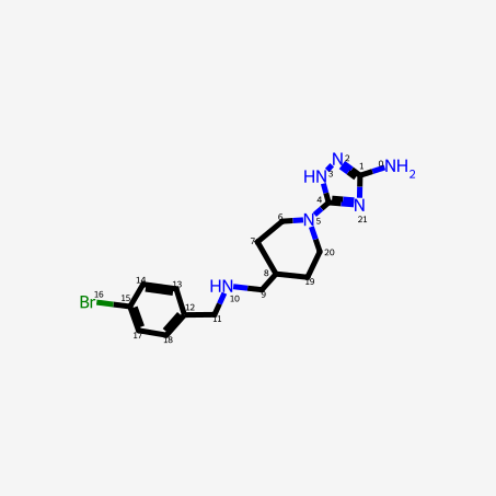 Nc1n[nH]c(N2CCC(CNCc3ccc(Br)cc3)CC2)n1